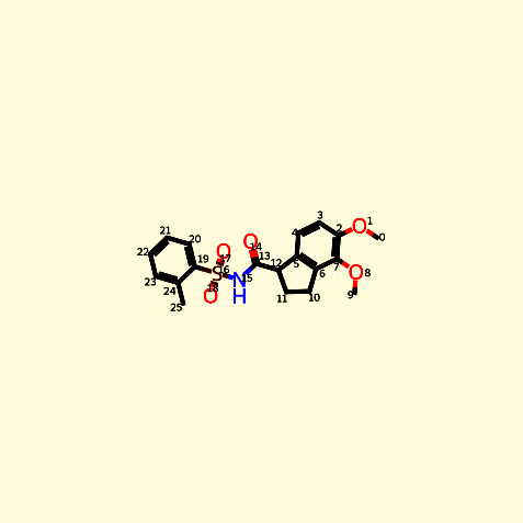 COc1ccc2c(c1OC)CCC2C(=O)NS(=O)(=O)c1ccccc1C